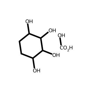 O=C(O)O.OC1CCC(O)C(O)C1O